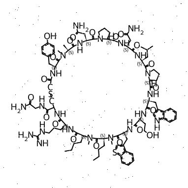 CCCC[C@H]1C(=O)N(C)[C@@H](CCCC)C(=O)N[C@@H](CCCNC(=N)N)C(=O)NC(C(=O)NCC(N)=O)CSCC(=O)N[C@@H](Cc2ccc(O)cc2)C(=O)N(C)[C@@H](C)C(=O)N[C@@H](CC(N)=O)C(=O)N2CCC[C@H]2C(=O)N[C@@H](CC(N)=O)C(=O)N[C@@H](CC(C)C)C(=O)N2CCC[C@H]2C(=O)N[C@@H](Cc2c[nH]c3ccccc23)C(=O)N[C@@H](CCO)C(=O)N[C@@H](Cc2csc3ccccc23)C(=O)N1C